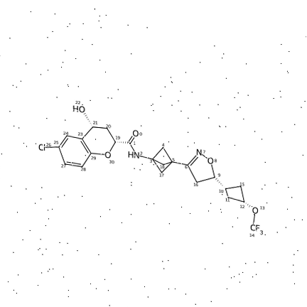 O=C(NC12CC(C3=NOC([C@H]4C[C@@H](OC(F)(F)F)C4)C3)(C1)C2)[C@H]1C[C@@H](O)c2cc(Cl)ccc2O1